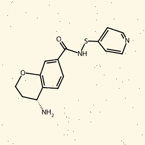 N[C@@H]1CCOc2cc(C(=O)NSc3ccncc3)ccc21